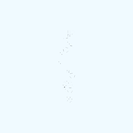 COc1cc(Cn2cccn2)cc2onc(NSc3cccc(N4CCC5(CCN(CC6CCN(c7ccc8c(c7)CN(C7CCC(=O)NC7=O)C8=O)C6)CC5)CC4)c3)c12